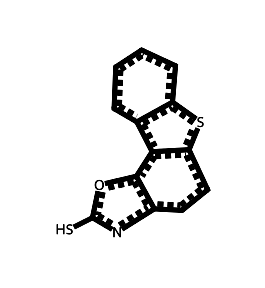 Sc1nc2ccc3sc4ccccc4c3c2o1